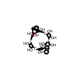 Oc1cc(O)c2cc1Cc1cc(O)c3c(c1O)C1c4ccccc4C3c3c(O)c(cc(O)c31)Cc1cc(c(O)cc1O)Cc1cc(O)c3c(c1O)C1c4ccccc4C3c3c(O)c(cc(O)c31)C2